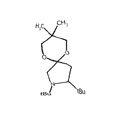 CC1(C)COC2(CC(C(C)(C)C)N(C(C)(C)C)C2)OC1